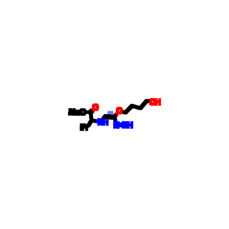 COC(=O)C(N/C=C(\N=N)OCCCCO)C(C)C